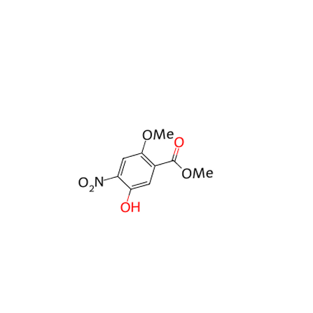 COC(=O)c1cc(O)c([N+](=O)[O-])cc1OC